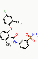 Cc1cc(F)ccc1Oc1cccc(C(F)(F)F)c1C(=O)Nc1cccc(S(N)(=O)=O)c1